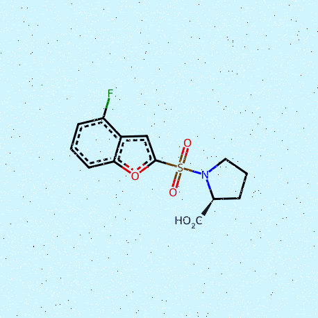 O=C(O)[C@@H]1CCCN1S(=O)(=O)c1cc2c(F)cccc2o1